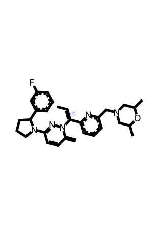 C=C1C=CC(N2CCCC2c2cccc(F)c2)=NN1/C(=C\C)c1cccc(CN2CC(C)OC(C)C2)n1